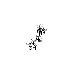 CB(O)N1CC(n2cc(B3OC(C)(C)C(C)(C)O3)cn2)C1